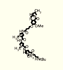 C=C1C[C@H]2C=Nc3cc(OCCCC(=O)Nc4cc(C(=O)Nc5cc(C(=O)Nc6cc(C(=O)NCCCNC(C)(C)C)n(C)c6)n(C)c5)n(C)c4)c(OC)cc3C(=O)N2C1